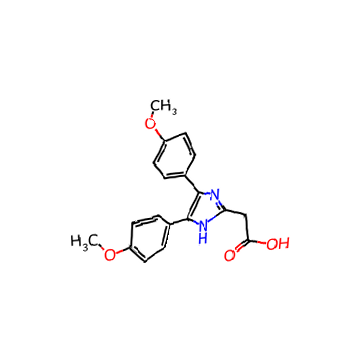 COc1ccc(-c2nc(CC(=O)O)[nH]c2-c2ccc(OC)cc2)cc1